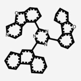 c1ccc2c(c1)cc(-c1nc(-c3cccc4oc5ccccc5c34)nc(-c3cccc4oc5cnccc5c34)n1)c1ccccc12